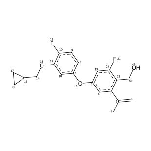 C=C(C)c1cc(Oc2ccc(F)c(OCC3CC3)c2)cc(F)c1CO